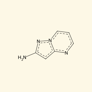 Nc1cc2ncccn2n1